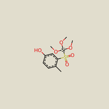 CO[Si](OC)(OC)S(=O)(=O)c1cc(O)ccc1C